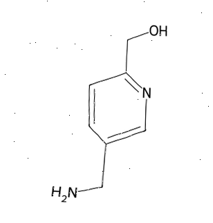 NCc1ccc(CO)nc1